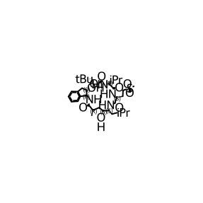 CC(C)C[C@H](NC(=O)[C@H](CCS(C)(=O)=O)NC(=O)[C@@H](NC(=O)OC(C)(C)C)C(C)C)[C@@H](O)C[C@@H](C)C(=O)N[C@@H]1c2ccccc2C[C@@H]1O